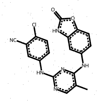 Cc1cnc(Nc2ccc(Cl)c(C#N)c2)nc1Nc1ccc2oc(=O)[nH]c2c1